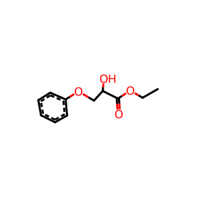 CCOC(=O)C(O)COc1ccccc1